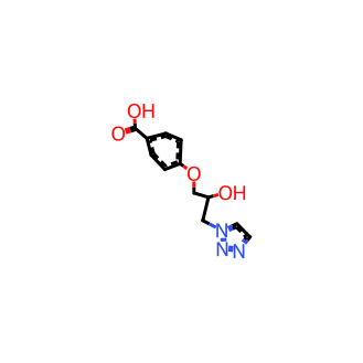 O=C(O)c1ccc(OCC(O)Cn2ccnn2)cc1